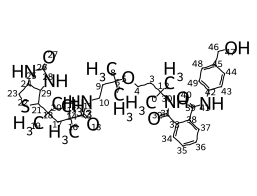 CC(C)(CCOC(C)(C)CCNC(=O)C(C)(C)CC(C)(C)C1SCC2NC(=O)NC21)NC(=O)c1ccccc1C(=O)Nc1ccc(CO)cc1